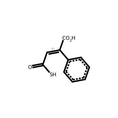 O=C(S)/C=C(/C(=O)O)c1ccccc1